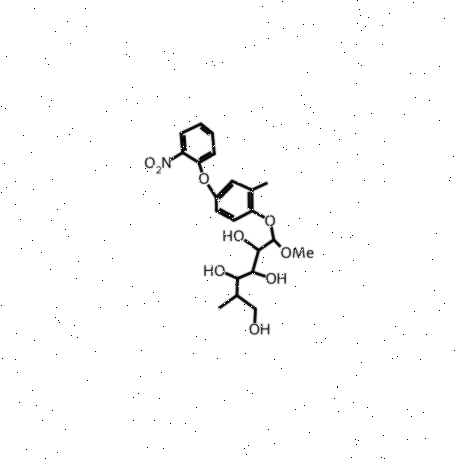 COC(Oc1ccc(Oc2ccccc2[N+](=O)[O-])cc1C)C(O)C(O)C(O)C(C)CO